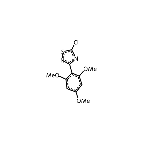 COc1cc(OC)c(-c2nsc(Cl)n2)c(OC)c1